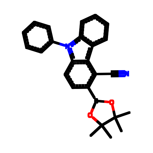 CC1(C)OB(c2ccc3c(c2C#N)c2ccccc2n3-c2ccccc2)OC1(C)C